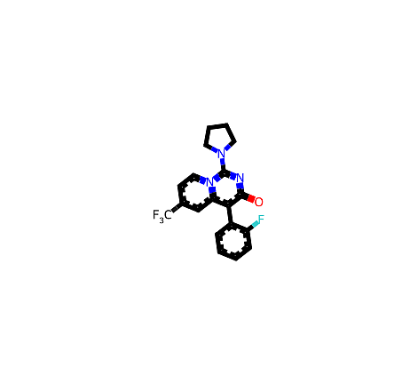 O=c1nc(N2CCCC2)n2ccc(C(F)(F)F)cc2c1-c1ccccc1F